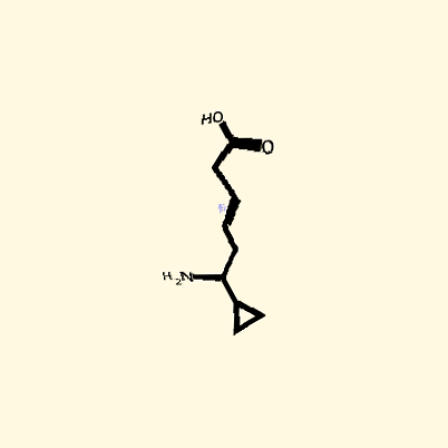 NC(C/C=C/CC(=O)O)C1CC1